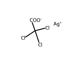 O=C([O-])C(Cl)(Cl)Cl.[Ag+]